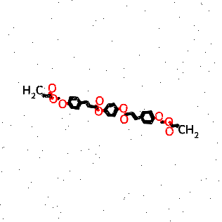 C=CC(=O)OCOc1ccc(/C=C/C(=O)Oc2ccc(OC(=O)/C=C/c3ccc(OCOC(=O)C=C)cc3)cc2)cc1